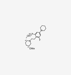 CO[C@@H]1CC[C@H](CO)N(CCc2c(F)cc(N3CCCCC3)cc2P)C1